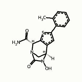 Cc1ccccc1-c1cc2c(s1)[C@@H](C(N)=O)N1C[C@@H]2N(O)C1=O